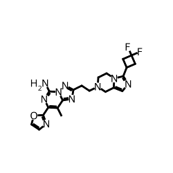 Cc1c(-c2ncco2)nc(N)n2nc(CCN3CCn4c(cnc4C4CC(F)(F)C4)C3)nc12